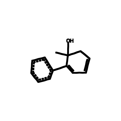 CC1(O)CC=CC=C1c1ccccc1